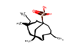 CC1CC2(C)CC(C)(C)CC(S(=O)(=O)O)(C1)C2